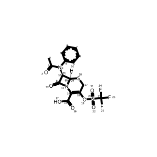 CC(=O)N(c1ccccc1)[C@@H]1C(=O)N2C(C(=O)O)=C(OS(=O)(=O)C(F)(F)F)CS[C@H]12